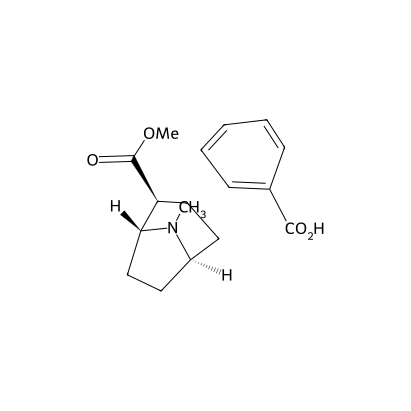 COC(=O)[C@H]1CC[C@H]2CC[C@H]1N2C.O=C(O)c1ccccc1